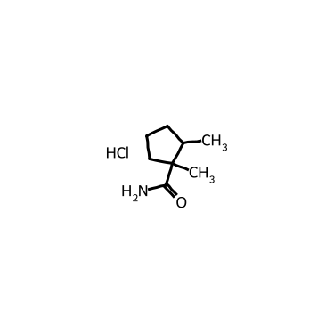 CC1CCCC1(C)C(N)=O.Cl